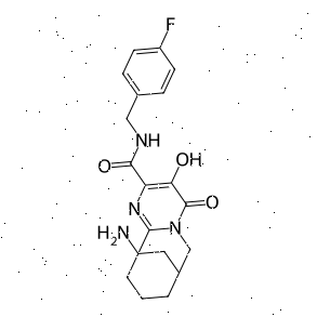 NC12CCCC(Cn3c1nc(C(=O)NCc1ccc(F)cc1)c(O)c3=O)C2